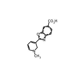 CN1C=CC=C(c2nc3ccc(C(=O)O)cc3o2)C1